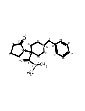 CN(C)C(=O)C1(N2CCCC2=O)CCN(Cc2ccccc2)CC1